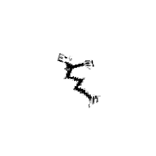 [CH2]C(C)CCCC(CC)CC